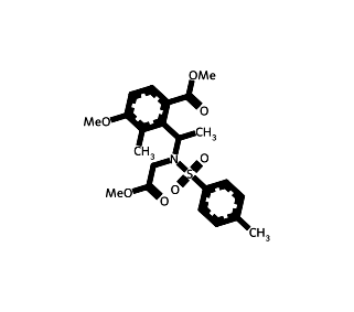 COC(=O)CN(C(C)c1c(C(=O)OC)ccc(OC)c1C)S(=O)(=O)c1ccc(C)cc1